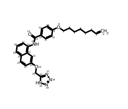 C=CCCCCCCOc1ccc(C(=O)Nc2cccc3ccc(OCc4nnn[nH]4)cc23)cc1